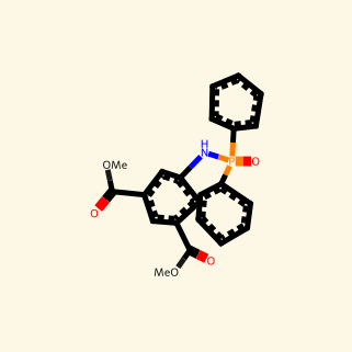 COC(=O)c1cc(NP(=O)(c2ccccc2)c2ccccc2)cc(C(=O)OC)c1